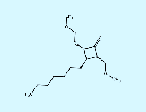 COCCCCC[C@H]1[C@@H](OCOC)C(=O)N1COC